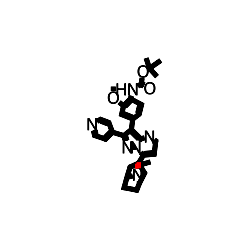 CCN1C2CCC1CC(c1ccnc3c(-c4ccc(NC(=O)OC(C)(C)C)c(OC)c4)c(-c4ccncc4)nn13)C2